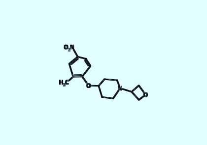 Cc1cc([N+](=O)[O-])ccc1OC1CCN(C2COC2)CC1